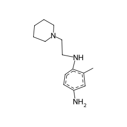 Cc1cc(N)ccc1NCCN1CCCCC1